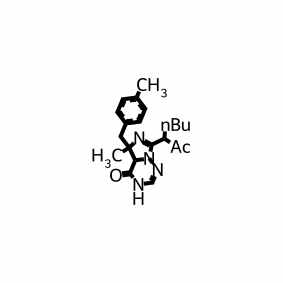 CCCCC(C(C)=O)C1=NC(C)(Cc2ccc(C)cc2)C2C(=O)NC=NN12